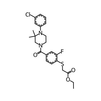 CCOC(=O)CSc1ccc(C(=O)N2CCN(c3cccc(Cl)c3)C(C)(C)C2)cc1F